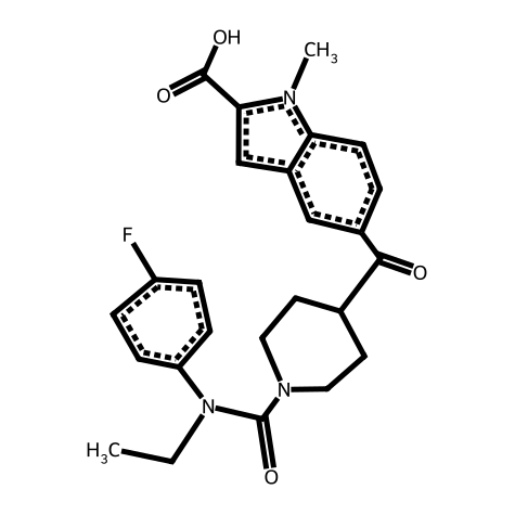 CCN(C(=O)N1CCC(C(=O)c2ccc3c(c2)cc(C(=O)O)n3C)CC1)c1ccc(F)cc1